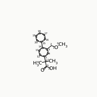 COCc1cc(C(C)(C)C(=O)O)ccc1-c1ccccc1